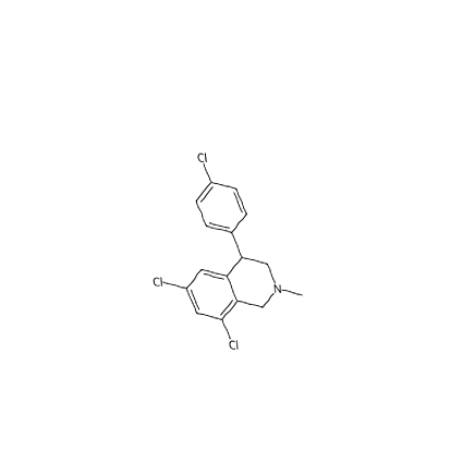 CN1Cc2c(Cl)cc(Cl)cc2C(c2ccc(Cl)cc2)C1